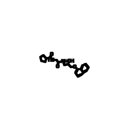 O=C(CNC(=O)C1CCCC1)NC[C@@H](O)COc1cccc2ccccc12